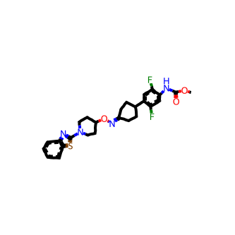 COC(=O)Nc1cc(F)c(C2CCC(=NOC3CCN(c4nc5ccccc5s4)CC3)CC2)cc1F